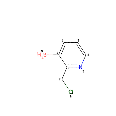 Bc1cccnc1CCl